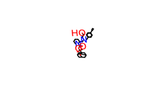 C#Cc1ccc(CN(CCO)CC2CCCCN2C(=O)OC(C)(C)C23CC4CC(CC(C4)C2)C3)cc1